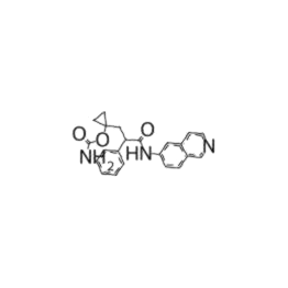 NC(=O)OC1(CC(C(=O)Nc2ccc3cnccc3c2)c2ccccc2)CC1